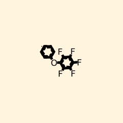 Fc1c(F)c(F)c(Oc2cc[c]cc2)c(F)c1F